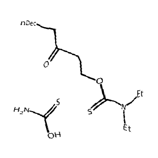 CCCCCCCCCCCC(=O)CCOC(=S)N(CC)CC.NC(O)=S